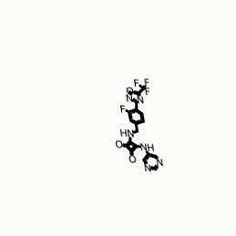 O=c1c(NCc2ccc(-c3noc(C(F)(F)F)n3)c(F)c2)c(Nc2cncnc2)c1=O